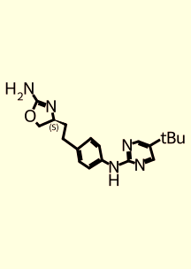 CC(C)(C)c1cnc(Nc2ccc(CC[C@H]3COC(N)=N3)cc2)nc1